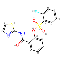 O=C(Nc1nccs1)c1ccccc1OS(=O)(=O)c1ccccc1F